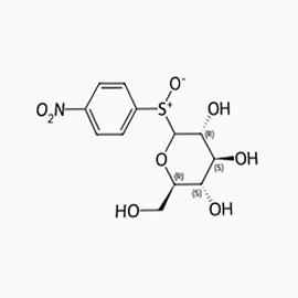 O=[N+]([O-])c1ccc([S+]([O-])C2O[C@H](CO)[C@@H](O)[C@H](O)[C@H]2O)cc1